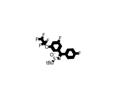 CC(C)(C)[S+]([O-])N=C(c1ccc(F)cc1)c1cc(F)cc(OC(F)(F)C(F)F)c1